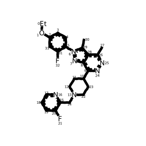 CCOc1ccc(-n2nc3c(C4CCN(Cc5ncccc5F)CC4)nnc(C)c3c2C)c(F)c1